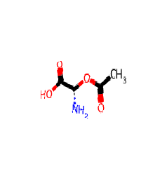 CC(=O)O[C@H](N)C(=O)O